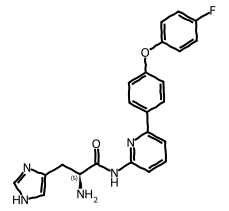 N[C@@H](Cc1c[nH]cn1)C(=O)Nc1cccc(-c2ccc(Oc3ccc(F)cc3)cc2)n1